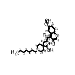 CCCCCCCN1CCC(CC[C@H](F)c2c(Cl)cnc3ccc(OC)cc23)(C(=O)O)CC1